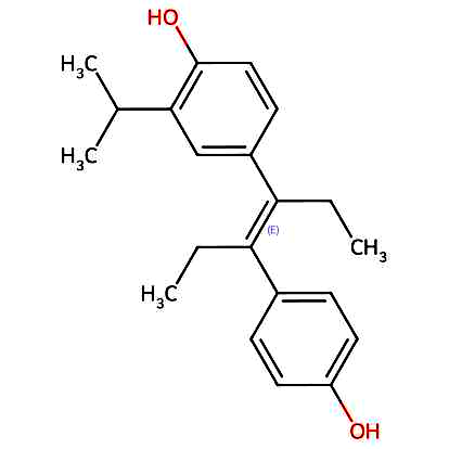 CC/C(=C(/CC)c1ccc(O)c(C(C)C)c1)c1ccc(O)cc1